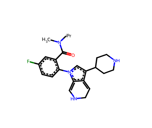 CC(C)N(C)C(=O)c1cc(F)ccc1-n1cc(C2CCNCC2)c2c1=CNCC=2